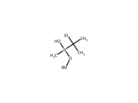 CCC(C)O[Si](C)(O)C(C)(C)CC